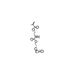 C=C(C)C(=O)OCCNC(=O)OCCOC=O